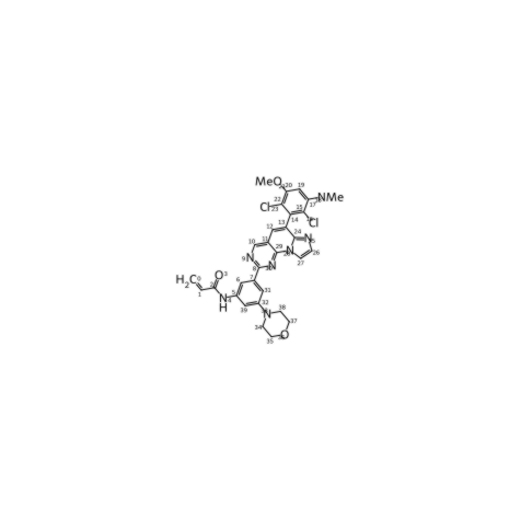 C=CC(=O)Nc1cc(-c2ncc3cc(-c4c(Cl)c(NC)cc(OC)c4Cl)c4nccn4c3n2)cc(N2CCOCC2)c1